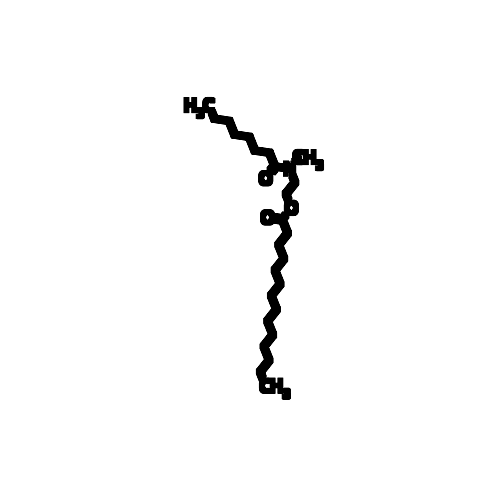 CCCCCCCCCCCCCC(=O)OCCN(C)C(=O)CCCCCCC